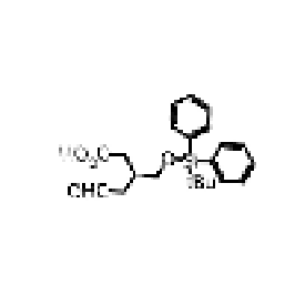 CC(C)(C)[Si](OC[C@@H](CC=O)CC(=O)O)(c1ccccc1)c1ccccc1